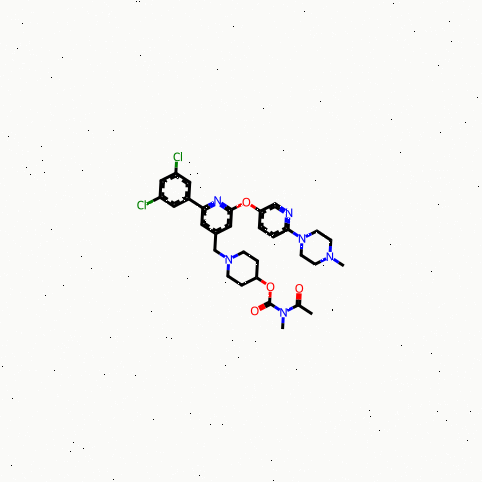 CC(=O)N(C)C(=O)OC1CCN(Cc2cc(Oc3ccc(N4CCN(C)CC4)nc3)nc(-c3cc(Cl)cc(Cl)c3)c2)CC1